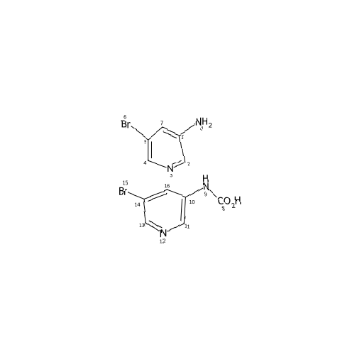 Nc1cncc(Br)c1.O=C(O)Nc1cncc(Br)c1